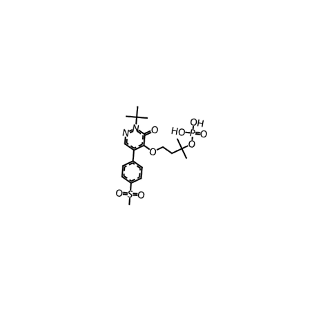 CC(C)(CCOc1c(-c2ccc(S(C)(=O)=O)cc2)cnn(C(C)(C)C)c1=O)OP(=O)(O)O